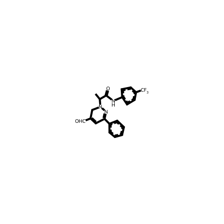 CC(C(=O)Nc1ccc(C(F)(F)F)cc1)N1CC(C=O)=CC(c2ccccc2)=N1